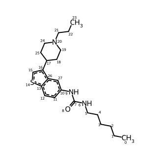 CCCCCCNC(=O)Nc1ccc2scc(C3CCN(CCC)CC3)c2c1